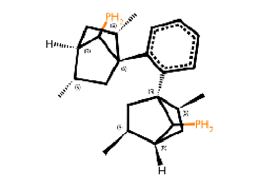 C[C@H]1C[C@]2(c3ccccc3[C@]34C[C@H](C)[C@@H](C[C@@H]3C)C4P)C(P)[C@@H]1C[C@@H]2C